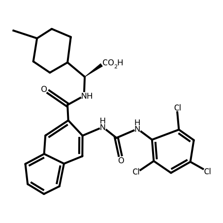 CC1CCC([C@H](NC(=O)c2cc3ccccc3cc2NC(=O)Nc2c(Cl)cc(Cl)cc2Cl)C(=O)O)CC1